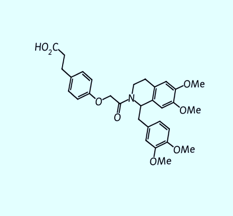 COc1ccc(CC2c3cc(OC)c(OC)cc3CCN2C(=O)COc2ccc(CCC(=O)O)cc2)cc1OC